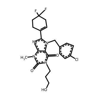 Cn1c(=O)n(CCCO)c(=O)c2c1nc(C1=CCC(F)(F)CC1)n2Cc1ccc(Cl)cc1